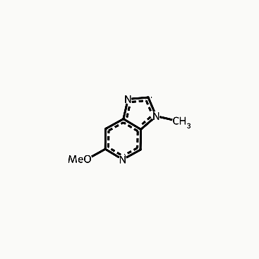 COc1cc2n[c]n(C)c2cn1